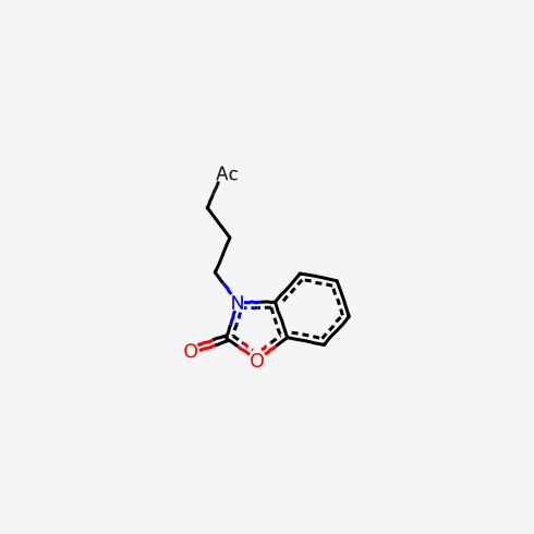 CC(=O)CCCn1c(=O)oc2ccccc21